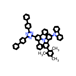 Cc1cc(C)c(-c2ccc3c(c2)c2cc(-n4c5ccccc5c5ccccc54)ccc2n3-c2c(-c3ccccc3)cc(-c3nc(-c4ccc(-c5ccccc5)cc4)nc(-c4ccc(-c5ccccc5)cc4)n3)cc2-c2ccccc2)c(C)c1